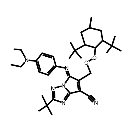 CCN(CC)c1ccc(N=C2C(COOC3C(C(C)(C)C)CC(C)CC3C(C)(C)C)=C(C#N)c3nc(C(C)(C)C)nn32)cc1